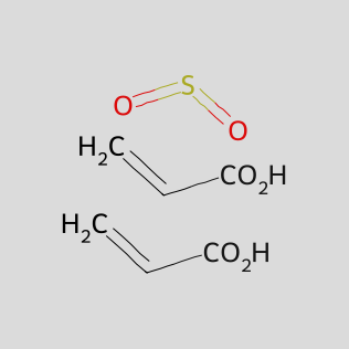 C=CC(=O)O.C=CC(=O)O.O=S=O